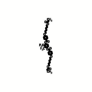 C=CC(=O)OCCCCCCOc1ccc(C(=O)Oc2ccc(OC(=O)c3ccc(OCCCCCCOC(=O)C=C)cc3)c(C(F)(F)F)c2C(F)(F)F)cc1